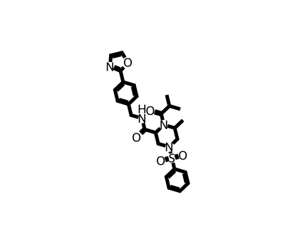 CC(C)C(=O)N1C(C)CN(S(=O)(=O)c2ccccc2)CC1C(=O)NCc1ccc(-c2ncco2)cc1